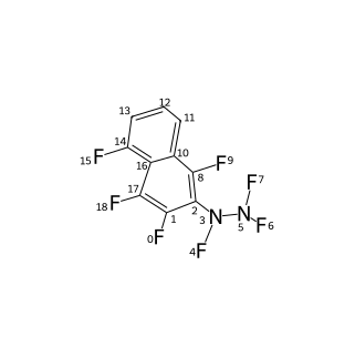 Fc1c(N(F)N(F)F)c(F)c2cccc(F)c2c1F